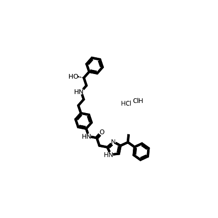 CC(c1ccccc1)c1c[nH]c(CC(=O)Nc2ccc(CCNC[C@H](O)c3ccccc3)cc2)n1.Cl.Cl